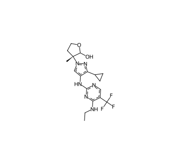 CCNc1nc(Nc2cn([C@]3(C)CCOC3O)nc2C2CC2)ncc1C(F)(F)F